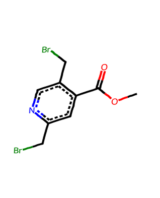 COC(=O)c1cc(CBr)ncc1CBr